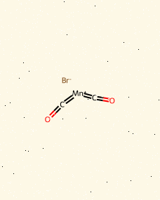 O=[C]=[Mn+]=[C]=O.[Br-]